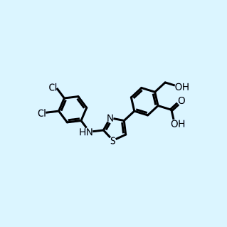 O=C(O)c1cc(-c2csc(Nc3ccc(Cl)c(Cl)c3)n2)ccc1CO